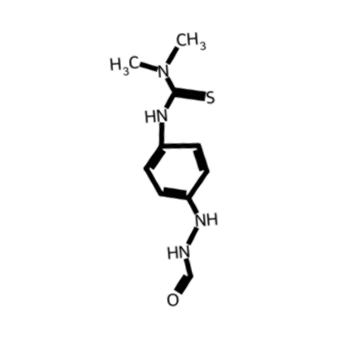 CN(C)C(=S)Nc1ccc(NNC=O)cc1